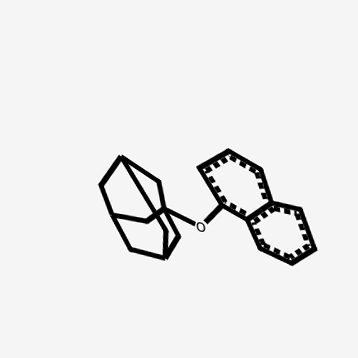 c1ccc2c(OC34CC5CC(CC(C5)C3)C4)cccc2c1